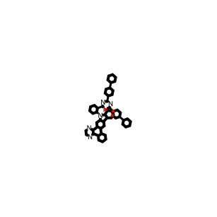 c1ccc(-c2ccc(-c3nc(-c4ccc(-c5ccccc5)cc4)nc(-c4ccccc4-n4c5ccccc5c5cc6c7ccccc7c7nccnc7c6cc54)n3)cc2)cc1